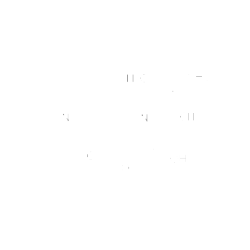 CC(C)(C)N(CC1CCCCN1)C(=O)O